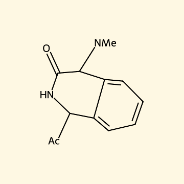 CNC1C(=O)NC(C(C)=O)c2ccccc21